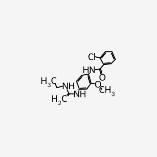 C=C(NCC)Nc1ccc(NC(=O)c2ccccc2Cl)c(OC)c1